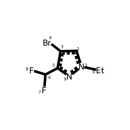 CCn1cc(Br)c(C(F)F)n1